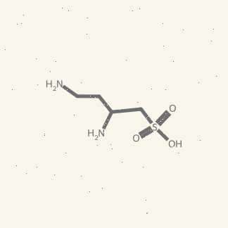 NCCC(N)CS(=O)(=O)O